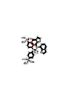 CCCC[Si](CCCC)(CCCC)c1ccc(P(c2ccc([Si](CCCC)(CCCC)CCCC)cc2)N(C)P(c2cccc3ccoc23)c2cccc3ccoc23)cc1